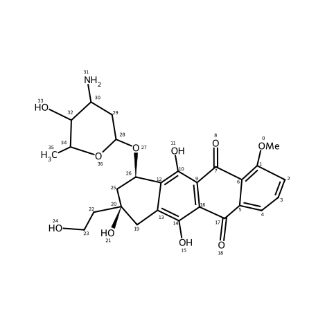 COc1cccc2c1C(=O)c1c(O)c3c(c(O)c1C2=O)C[C@](O)(CCO)C[C@H]3OC1CC(N)C(O)C(C)O1